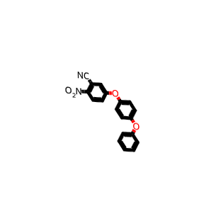 N#Cc1cc(Oc2ccc(Oc3ccccc3)cc2)ccc1[N+](=O)[O-]